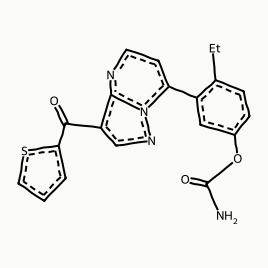 CCc1ccc(OC(N)=O)cc1-c1ccnc2c(C(=O)c3cccs3)cnn12